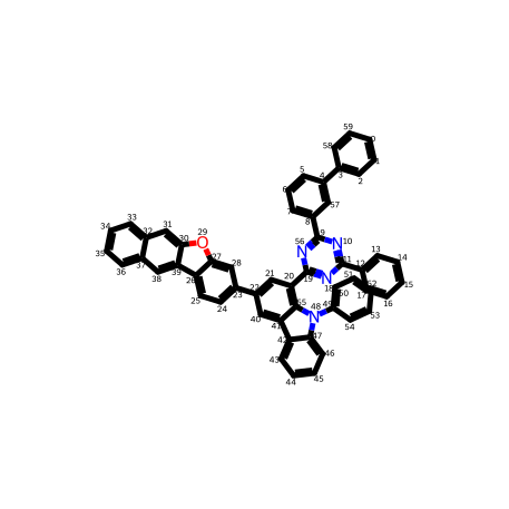 c1ccc(-c2cccc(-c3nc(-c4ccccc4)nc(-c4cc(-c5ccc6c(c5)oc5cc7ccccc7cc56)cc5c6ccccc6n(-c6ccccc6)c45)n3)c2)cc1